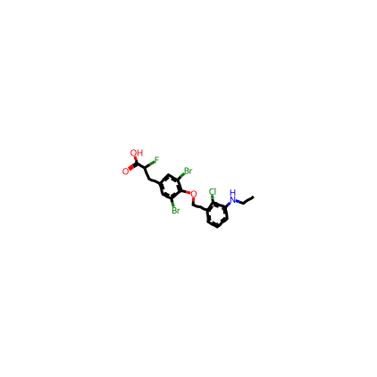 CCNc1cccc(COc2c(Br)cc(CC(F)C(=O)O)cc2Br)c1Cl